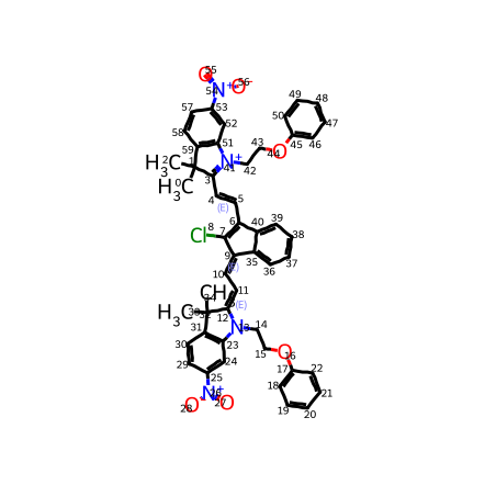 CC1(C)C(/C=C/C2=C(Cl)C(=C/C=C3/N(CCOc4ccccc4)c4cc([N+](=O)[O-])ccc4C3(C)C)/c3ccccc32)=[N+](CCOc2ccccc2)c2cc([N+](=O)[O-])ccc21